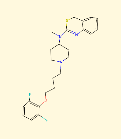 CN(C1=Nc2ccccc2CS1)C1CCN(CCCCOc2c(F)cccc2F)CC1